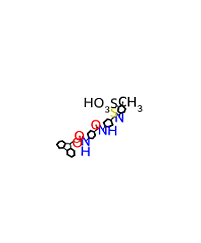 Cc1ccc2nc(-c3ccc(NC(=O)c4ccc(NC(=O)OCC5c6ccccc6-c6ccccc65)cc4)cc3)sc2c1S(=O)(=O)O